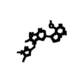 COc1ncnn2ccc(-c3cnc4nc(C)n(Cc5cc(C)n(C)n5)c4c3)c12